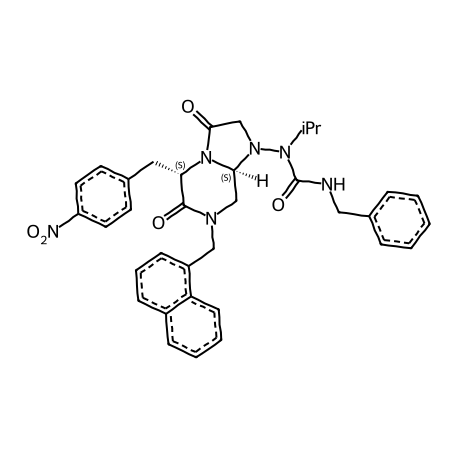 CC(C)N(C(=O)NCc1ccccc1)N1CC(=O)N2[C@@H](Cc3ccc([N+](=O)[O-])cc3)C(=O)N(Cc3cccc4ccccc34)C[C@@H]21